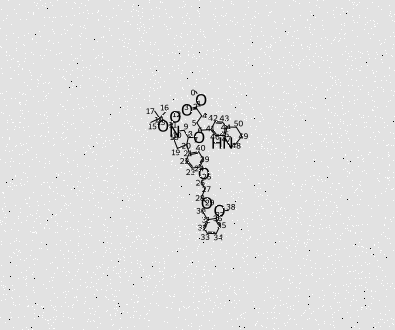 COC(=O)CCC(OC1CN(C(=O)OC(C)(C)C)CCC1c1ccc(OCCCOCc2ccccc2OC)cc1)c1ccc2c(c1)NCCC2